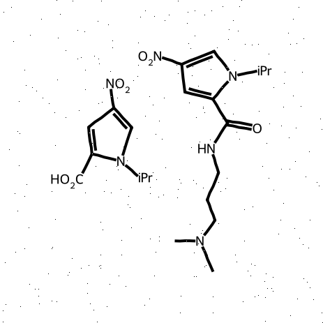 CC(C)n1cc([N+](=O)[O-])cc1C(=O)NCCCN(C)C.CC(C)n1cc([N+](=O)[O-])cc1C(=O)O